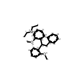 CCNCC.COc1ccccc1C(Cc1ccccc1)c1ccccc1OC